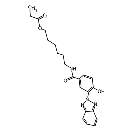 CCC(=O)OCCCCCCNC(=O)c1ccc(O)c(-n2nc3ccccc3n2)c1